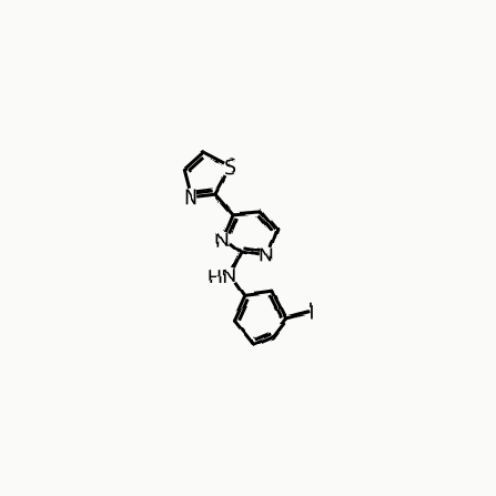 Ic1cccc(Nc2nccc(-c3nccs3)n2)c1